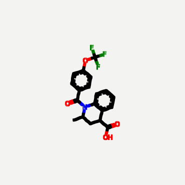 CC1CC(C(=O)O)c2ccccc2N1C(=O)c1ccc(OC(F)(F)F)cc1